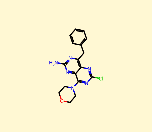 Nc1nc(Cc2ccccc2)c2nc(Cl)nc(N3CCOCC3)c2n1